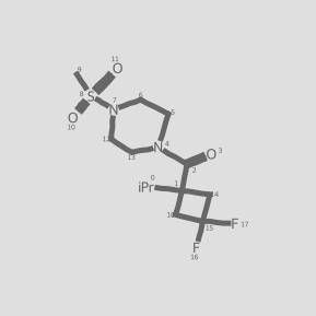 CC(C)C1(C(=O)N2CCN(S(C)(=O)=O)CC2)CC(F)(F)C1